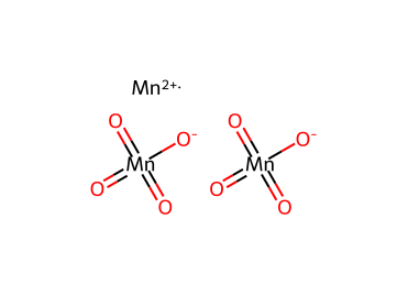 [Mn+2].[O]=[Mn](=[O])(=[O])[O-].[O]=[Mn](=[O])(=[O])[O-]